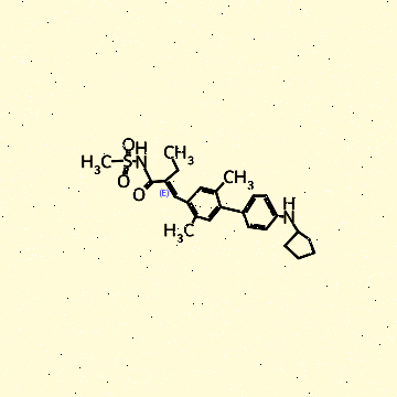 CC/C(=C\c1cc(C)c(-c2ccc(NC3CCCC3)cc2)cc1C)C(=O)NS(C)(=O)=O